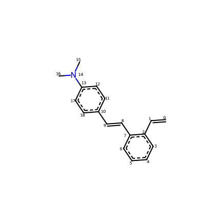 C=Cc1ccccc1C=Cc1ccc(N(C)C)cc1